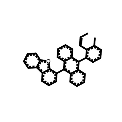 C/C=C\c1c(C)cccc1-c1c2ccccc2c(-c2cccc3c2oc2ccccc23)c2ccccc12